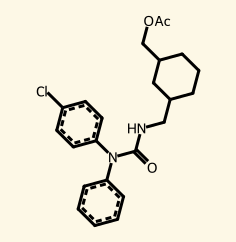 CC(=O)OCC1CCCC(CNC(=O)N(c2ccccc2)c2ccc(Cl)cc2)C1